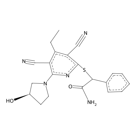 CCc1c(C#N)c(SC(C(N)=O)c2ccccc2)nc(N2CC[C@@H](O)C2)c1C#N